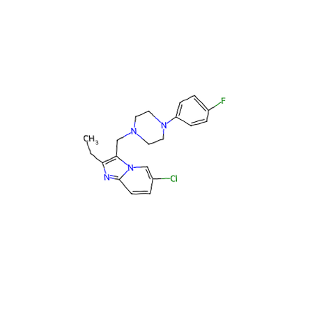 CCc1nc2ccc(Cl)cn2c1CN1CCN(c2ccc(F)cc2)CC1